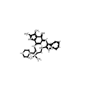 Cc1[nH]c2c(c1C)C(=N)C(=Nc1c(NCCN(C)C)nn3ccccc13)C=C2OCCN1CCOCC1